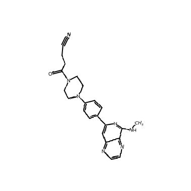 CNc1nc(-c2ccc(N3CCN(C(=O)CCC#N)CC3)cc2)cc2nccnc12